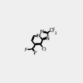 FC(F)c1ccn2nc(C(F)(F)F)nc2c1Cl